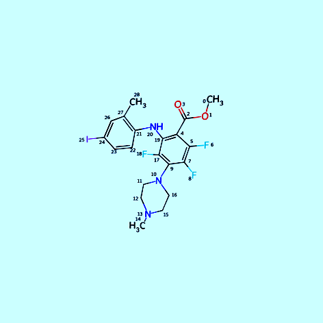 COC(=O)c1c(F)c(F)c(N2CCN(C)CC2)c(F)c1Nc1ccc(I)cc1C